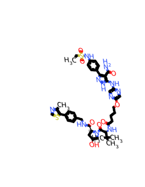 CCS(=O)(=O)Nc1ccc(-c2n[nH]c(Nc3cnc(OCCCCC(=O)N[C@H](C(=O)N4C[C@H](O)C[C@H]4C(=O)NCc4ccc(-c5scnc5C)cc4)C(C)(C)C)cn3)c2C(N)=O)cc1